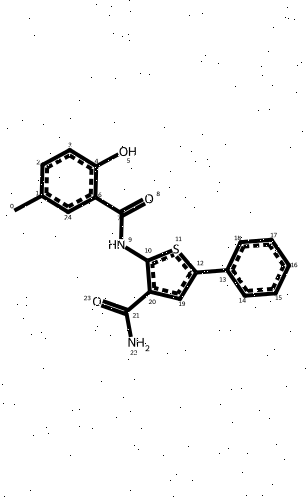 Cc1ccc(O)c(C(=O)Nc2sc(-c3ccccc3)cc2C(N)=O)c1